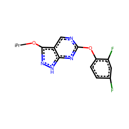 CC(C)Oc1n[nH]c2nc(Oc3ccc(F)cc3F)ncc12